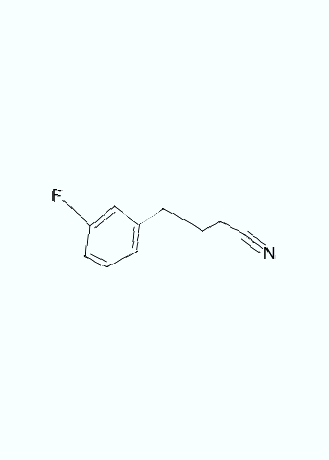 N#CCCCc1cccc(F)c1